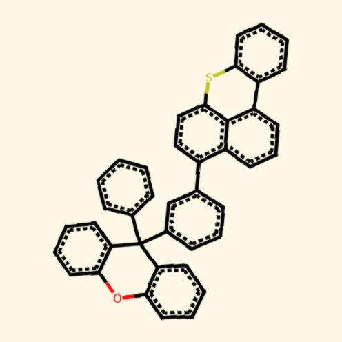 c1ccc(C2(c3cccc(-c4ccc5c6c(cccc46)-c4ccccc4S5)c3)c3ccccc3Oc3ccccc32)cc1